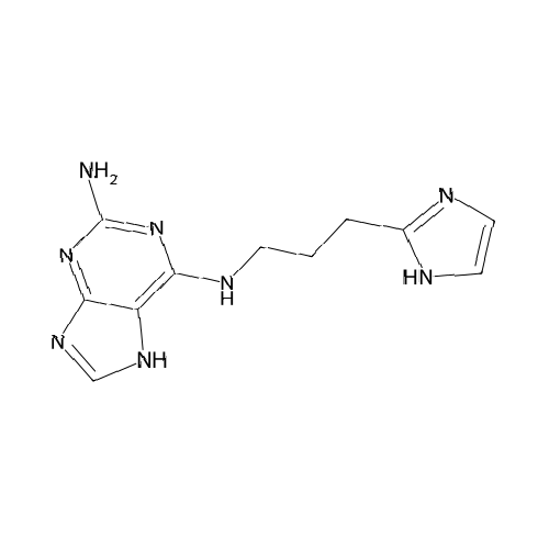 Nc1nc(NCCCc2ncc[nH]2)c2[nH]cnc2n1